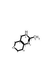 CC1=NC2=C(CN1)CSCC2